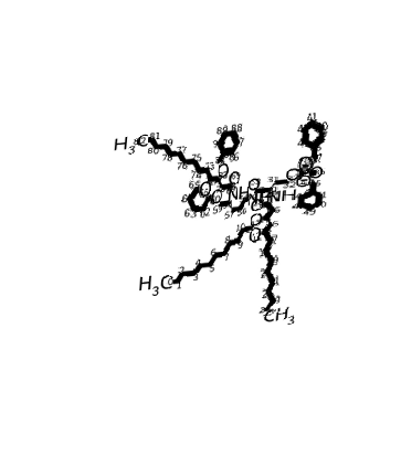 CCCCCCCCCCCC(=O)O[C@H](CCCCCCCCCCC)CC(=O)N[C@@H](CCOP(=O)(OCc1ccccc1)OCc1ccccc1)C(=O)NCCC[C@H](COC1CCCCO1)NC(=O)C[C@@H](CCCCCCCCCCC)OCc1ccccc1